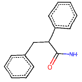 [NH]C(=O)C(Cc1ccccc1)c1ccccc1